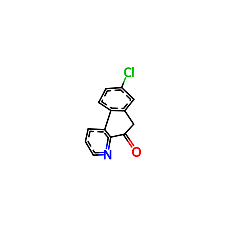 O=C1Cc2cc(Cl)ccc2-c2cccnc21